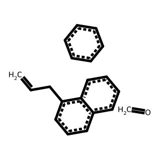 C=CCc1cccc2ccccc12.C=O.c1ccccc1